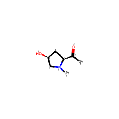 CC(C)C(=O)[C@@H]1C[C@H](O)CN1C(C)C